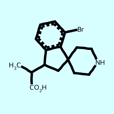 CC(C(=O)O)C1CC2(CCNCC2)c2c(Br)cccc21